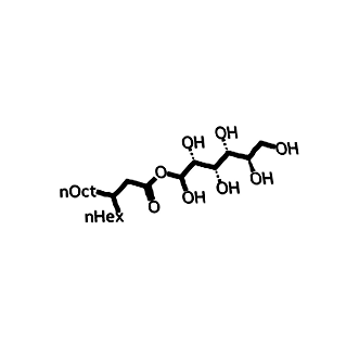 CCCCCCCCC(CCCCCC)CC(=O)OC(O)[C@H](O)[C@@H](O)[C@H](O)[C@H](O)CO